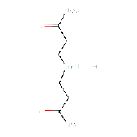 CNC(=O)C[CH2][Sn][CH2]CC(=O)NC.Cl.Cl